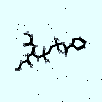 CCC(C)(CCC(C)(C)OC(=O)c1ccccc1)N/C(=N/C(=O)OC(C)(C)C)NC(=O)OC(C)(C)C